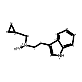 CCCN(CCc1c[nH]c2ccccc12)CC1CC1